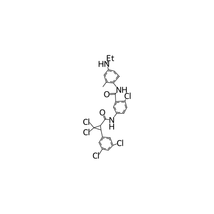 CCNc1ccc(NC(=O)c2cc(NC(=O)C3C(c4cc(Cl)cc(Cl)c4)C3(Cl)Cl)ccc2Cl)c(C)c1